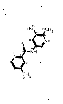 Cc1ccnc(C(=O)Nc2cnc(C)c(C(C)(C)C)c2)c1